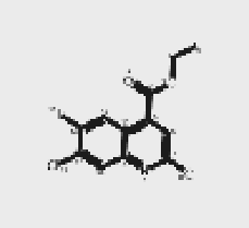 CCOC(=O)c1cc(Cl)nc2cc(Cl)c(I)cc12